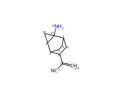 C=C(C#N)C1CC2CCC1C1CC21N